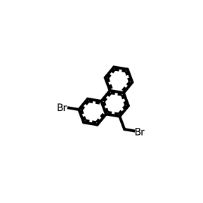 BrCc1cc2ccccc2c2cc(Br)ccc12